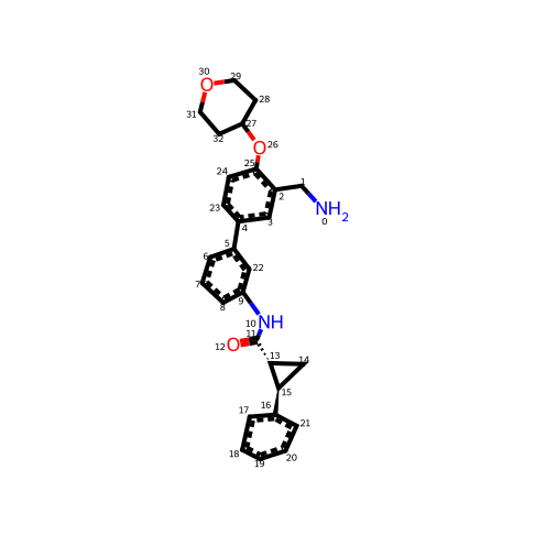 NCc1cc(-c2cccc(NC(=O)[C@@H]3C[C@H]3c3ccccc3)c2)ccc1OC1CCOCC1